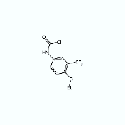 CCOc1ccc(NC(=O)Cl)cc1C(F)(F)F